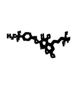 CC(F)(F)C1CCC(=NOc2nc3oc(=O)cc(CCCC(F)(F)F)c3c(=O)[nH]2)CC1